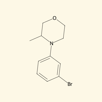 CC1COCCN1c1cccc(Br)c1